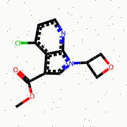 COC(=O)c1cn(C2COC2)c2nccc(Cl)c12